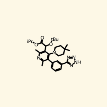 Cc1nc(C)c(C(OC(C)(C)C)C(=O)OC(C)C)c(N2CCC(C)(C)CC2)c1-c1cccc(-c2nn[nH]n2)c1